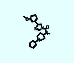 COc1cccc(-c2cn(C(=O)N(C)C3CCN(c4ccccc4)CC3)cn2)c1